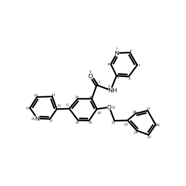 O=C(Nc1cccnc1)c1cc(-c2cccnc2)ccc1OCc1ccccc1